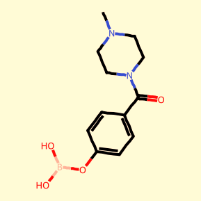 CN1CCN(C(=O)c2ccc(OB(O)O)cc2)CC1